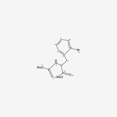 COC(=O)NC(Cc1ccccc1Br)C(=O)OC